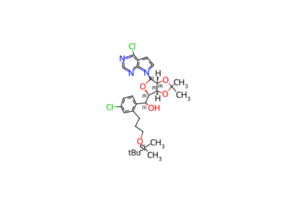 CC1(C)O[C@H]2[C@@H](O1)[C@H](n1ccc3c(Cl)ncnc31)O[C@@H]2[C@@H](O)c1ccc(Cl)cc1CCCO[Si](C)(C)C(C)(C)C